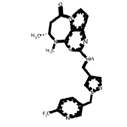 C[C@@H]1CC(=O)n2ccc3nc(NCc4cnn(Cc5ccc(C(F)(F)F)nc5)c4)nc(c32)N1C